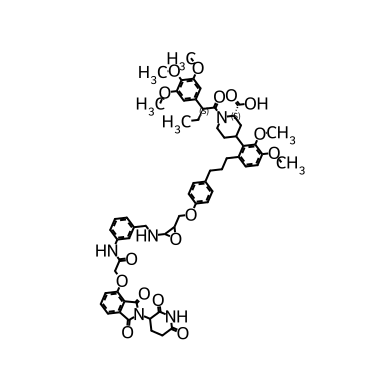 CC[C@H](C(=O)N1CCC(c2c(CCCc3ccc(OCC4OC4NCc4cccc(NC(=O)COc5cccc6c5C(=O)N(C5CCC(=O)NC5=O)C6=O)c4)cc3)ccc(OC)c2OC)C[C@H]1C(=O)O)c1cc(OC)c(OC)c(OC)c1